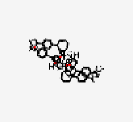 COC(C)c1ccc(C2C=CC=CC3=C2C=C(C)[C]32[SiH](C)[C]3(C(C)=CC4=C3C=CC=CC4c3ccc(C(C)OC)cc3)[Zr]23([Cl])([Cl])[C]2(C(C)=CC4=C2C=CC=CC4c2ccc(C(C)OC)cc2)[SiH](C)[C]32C(C)=CC3=C2C=CC=CC3c2ccc(C(C)OC)cc2)cc1